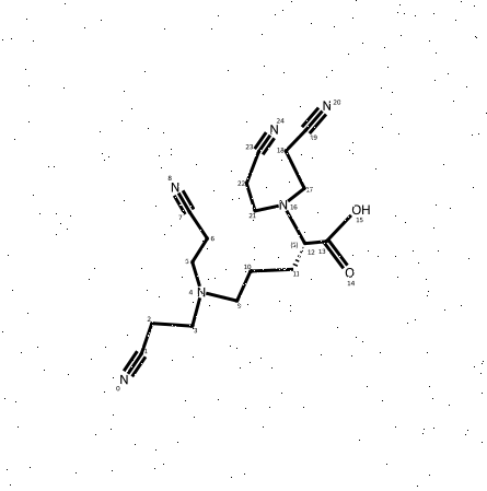 N#CCCN(CCC#N)CCC[C@@H](C(=O)O)N(CCC#N)CCC#N